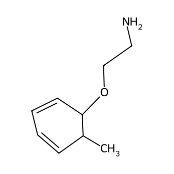 CC1C=CC=CC1OCCN